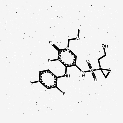 COCn1cc(NS(=O)(=O)C2(CCO)CC2)c(Nc2ccc(I)cc2F)c(F)c1=O